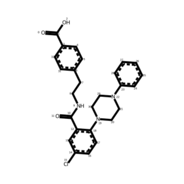 O=C(O)c1ccc(CCNC(=O)c2cc(Cl)ccc2N2CCN(c3ccccc3)CC2)cc1